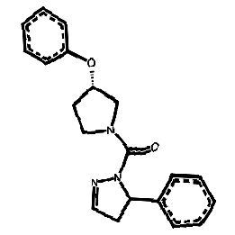 O=C(N1CC[C@H](Oc2ccccc2)C1)N1N=CCC1c1ccccc1